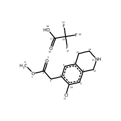 COC(=O)Cc1cc2c(cc1Cl)CNCC2.O=C(O)C(F)(F)F